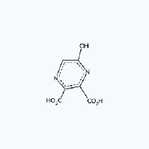 O=C(O)c1ncc(O)nc1C(=O)O